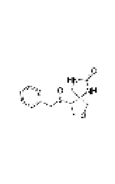 O=C1NC(=O)C2(COCC2SCc2ccccc2)N1